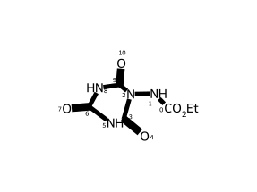 CCOC(=O)Nn1c(=O)[nH]c(=O)[nH]c1=O